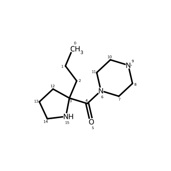 CCCC1(C(=O)N2CC[N]CC2)CCCN1